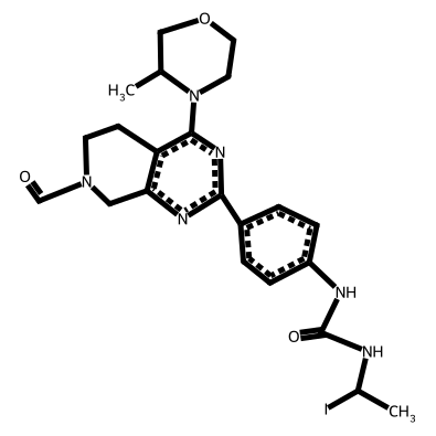 CC(I)NC(=O)Nc1ccc(-c2nc3c(c(N4CCOCC4C)n2)CCN(C=O)C3)cc1